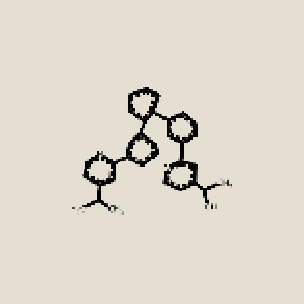 CC(C)c1ccnc(-c2cccc(-c3ccccc3-c3cccc(-c4cc(C(C)C)ccn4)c3)c2)c1